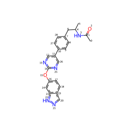 CC(=O)NC(C)Cc1ccc(-c2cnc(Oc3ccc4cn[nH]c4c3)nc2)cc1